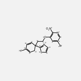 O=[N+]([O-])c1ncc(Br)cc1OCCC1(c2nccs2)C=CC(F)=CC1